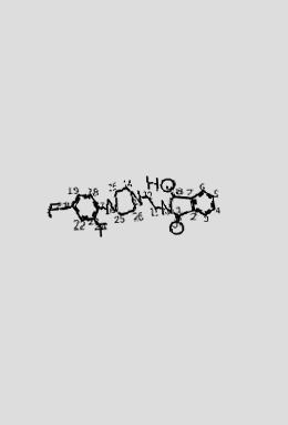 O=C1c2ccccc2C(O)N1CCN1CCN(c2ccc(F)cc2F)CC1